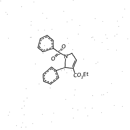 CCOC(=O)C1=CCN(S(=O)(=O)c2ccccc2)C1c1ccccc1